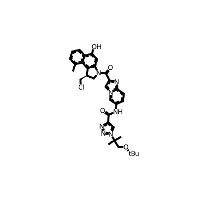 Cc1cccc2c(O)cc3c(c12)[C@H](CCl)CN3C(=O)c1cn2cc(NC(=O)c3cn(C(C)(C)COC(C)(C)C)nn3)ccc2n1